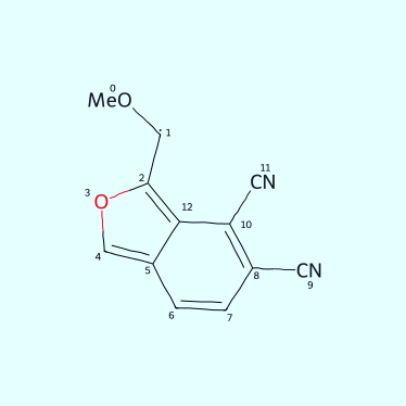 CO[CH]c1occ2ccc(C#N)c(C#N)c12